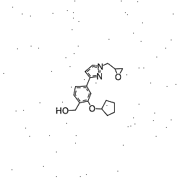 OCc1ccc(-c2ccn(CC3CO3)n2)cc1OC1CCCC1